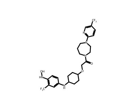 O=C(COC1CCC(Nc2ccc(NO)c(C(F)(F)F)c2)CC1)N1CCCN(c2ccc(C(F)(F)F)cn2)CC1